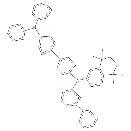 CC1(C)CCC(C)(C)c2cc(N(c3ccc(-c4ccc(N(c5ccccc5)c5ccccc5)cc4)cc3)c3cccc(-c4ccccc4)c3)ccc21